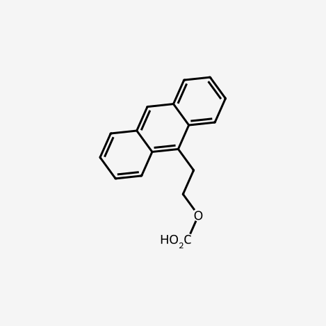 O=C(O)OCCc1c2ccccc2cc2ccccc12